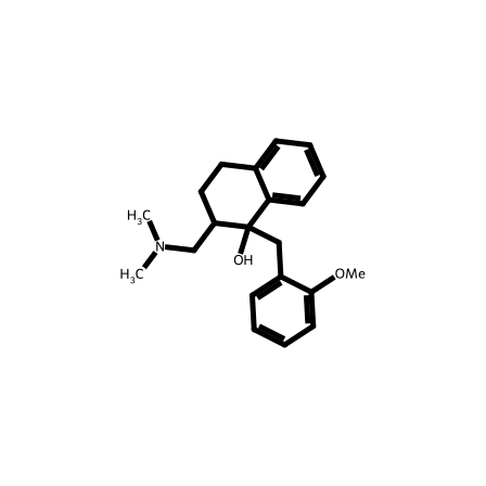 COc1ccccc1CC1(O)c2ccccc2CCC1CN(C)C